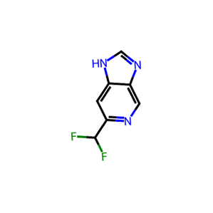 FC(F)c1cc2[nH]cnc2cn1